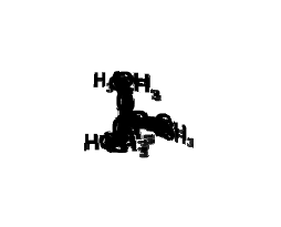 CC(C)(O)C(=O)c1ccc(COCCP(CCOCc2ccc(C(=O)C(C)(C)O)cc2)CCOCc2ccc(C(=O)C(C)(C)O)cc2)cc1